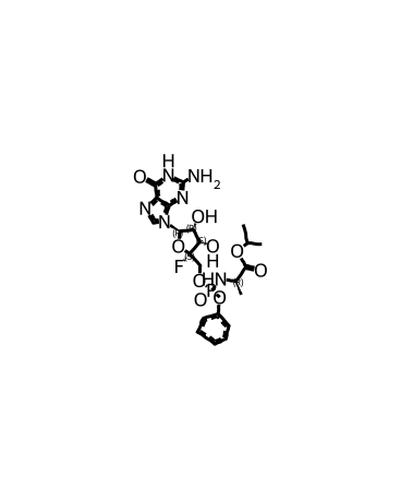 CC(C)OC(=O)[C@@H](C)NP(=O)(OC[C@@]1(F)O[C@@H](n2cnc3c(=O)[nH]c(N)nc32)[C@H](O)[C@@H]1O)Oc1ccccc1